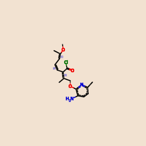 CO/C(C)=C/C=C\C(C(=O)Cl)=C(/C)COc1nc(C)ccc1N